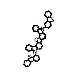 c1ccc2c(c1)sc1ccc(-n3c4ccccc4c4c5oc6c(ccc7c6c6ccccc6n7-c6cccc7c6sc6ccccc67)c5ccc43)cc12